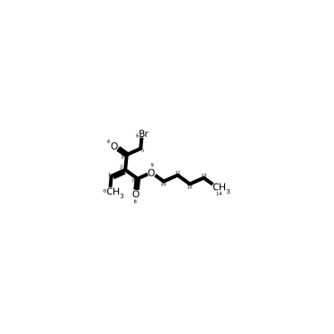 CC=C(C(=O)CBr)C(=O)OCCCCC